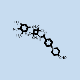 Cc1cc(O[C@H]2C(C)(C)[C@H](NC(=O)c3ccc(N4CCC(C=O)CC4)cc3)C2(C)C)cc(C)c1C#N